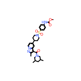 COC(=O)Nc1ccc(S(=O)(=O)N2CCC(c3ccn4nc(C)c(C(=O)N5CC(C)CC(C)C5)c4c3)CC2)cc1